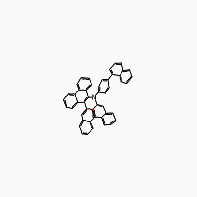 c1ccc2cc(-c3c(N(c4ccc(-c5cccc6ccccc56)cc4)c4ccc5ccccc5c4)c4ccccc4c4ccccc34)ccc2c1